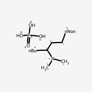 CCCCCCCCCCCC(CCCC)N(C)C.O=P(O)(O)O